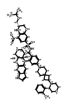 Cc1ccccc1[C@@H]1COCCN1C1CC2(CCN(c3ccc(C(=O)NS(=O)(=O)c4cc5c(c([N+](=O)[O-])c4)N[C@H](COC(C)C)CO5)c(N4c5cc6cc[nH]c6nc5O[C@H]5COCC[C@@H]54)c3)CC2)C1